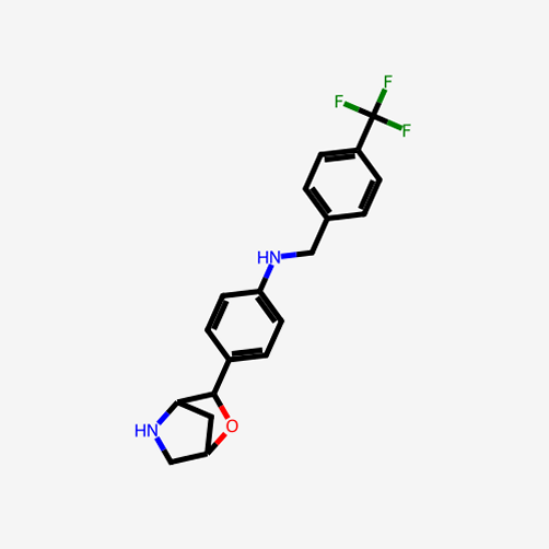 FC(F)(F)c1ccc(CNc2ccc(C3OC4CNC3C4)cc2)cc1